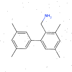 Cc1cc(C)cc(-c2cc(C)cc(C)c2CN)c1